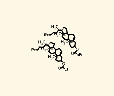 CCC(=O)OC1CC[C@@]2(C)C(=CCC3C2CC[C@@]2(C)C3CC[C@@H]2[C@H](C)CCCC(C)C)C1.CCCC(=O)OC1CC[C@@]2(C)C(=CCC3C2CC[C@@]2(C)C3CC[C@@H]2[C@H](C)CCCC(C)C)C1